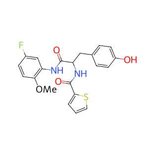 COc1ccc(F)cc1NC(=O)C(Cc1ccc(O)cc1)NC(=O)c1cccs1